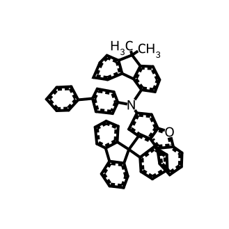 CC1(C)c2ccccc2-c2c(N(c3ccc(-c4ccccc4)cc3)c3cc(C4(c5ccccc5)c5ccccc5-c5ccccc54)c4c(c3)oc3ccccc34)cccc21